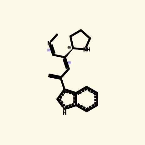 C=C(/C=C(\C=N/C)[C@@H]1CCCN1)c1c[nH]c2ccccc12